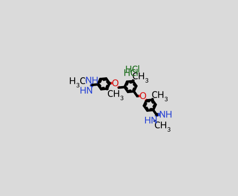 CNC(=N)c1ccc(OCc2cc(C)cc(COc3ccc(C(=N)NC)cc3C)c2)c(C)c1.Cl.Cl